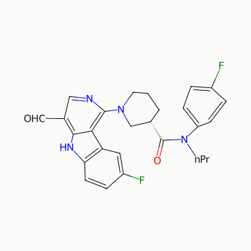 CCCN(C(=O)[C@H]1CCCN(c2ncc(C=O)c3[nH]c4ccc(F)cc4c23)C1)c1ccc(F)cc1